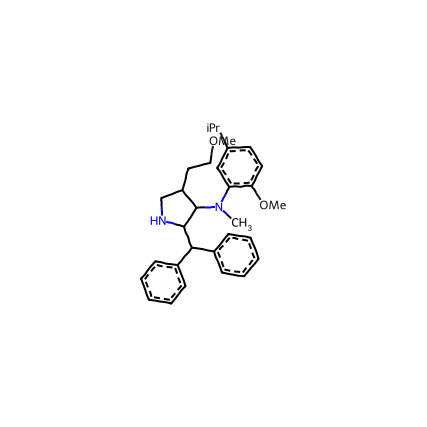 COCCC1CNC(C(c2ccccc2)c2ccccc2)C1N(C)c1cc(C(C)C)ccc1OC